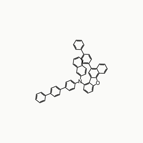 c1ccc(-c2ccc(-c3ccc(N(c4ccc5ccccc5c4)c4cccc5oc6c7ccccc7c(-c7ccc(-c8ccccc8)cc7)cc6c45)cc3)cc2)cc1